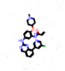 C=CC(=O)Nc1cc(Nc2ncc3cccc(-c4cncc(F)c4)c3n2)ccc1OC1CCN(C)CC1